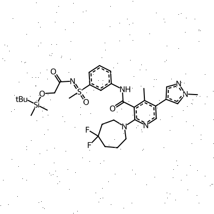 Cc1c(-c2cnn(C)c2)cnc(N2CCCC(F)(F)CC2)c1C(=O)Nc1cccc(S(C)(=O)=NC(=O)CO[Si](C)(C)C(C)(C)C)c1